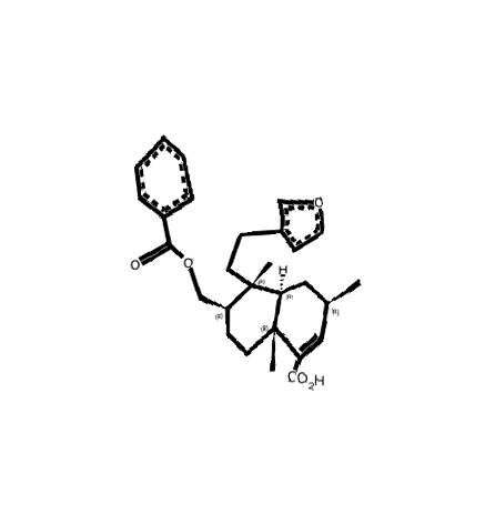 C[C@H]1C=C(C(=O)O)[C@]2(C)CC[C@@H](COC(=O)c3ccccc3)[C@](C)(CCc3ccoc3)[C@H]2C1